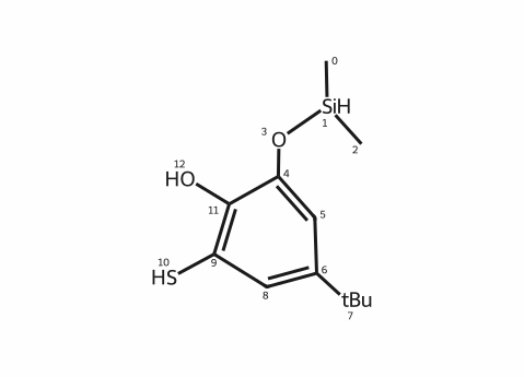 C[SiH](C)Oc1cc(C(C)(C)C)cc(S)c1O